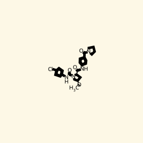 CO[C@@H]1C[C@H](C(=O)Nc2ccc(C(=O)N3CCCC3)cc2)N(C(=O)Nc2ccc(Cl)cc2)C1